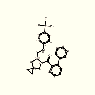 O=C(c1ncccc1-c1ccccc1)N1CC2(CC2)C[C@H]1CNc1ccc(C(F)(F)F)cn1